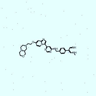 CN/C=C(\C=N)c1ccc(CNc2cc(-c3cnc4cc(OCCN5CCN6CCOCC6C5)ccn34)ncn2)cc1